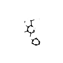 COc1c(C(=O)O)ncc(Oc2ccccc2)c1C